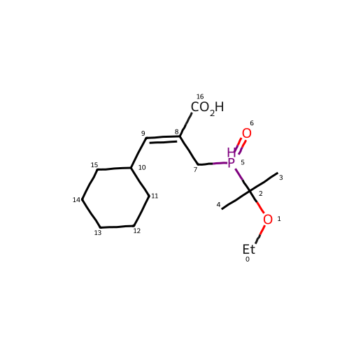 CCOC(C)(C)[PH](=O)CC(=CC1CCCCC1)C(=O)O